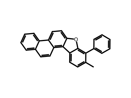 Cc1ccc2c(oc3ccc4c5ccccc5ccc4c32)c1-c1ccccc1